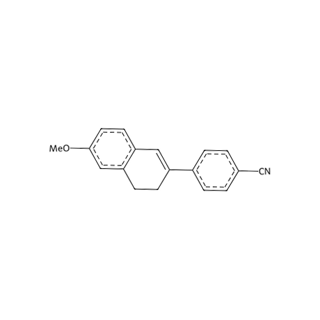 COc1ccc2c(c1)CCC(c1ccc(C#N)cc1)=C2